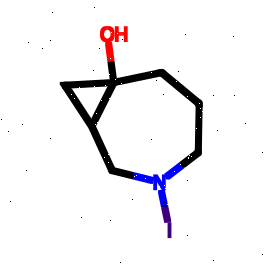 OC12CCCN(I)CC1C2